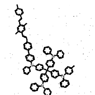 Cc1ccc(C=Cc2cc(C)c(C=Cc3ccc(-c4ccc(N(c5ccccc5)c5ccc(C(c6ccc(N(c7ccccc7)c7ccccc7)cc6)(c6ccc(N(c7ccccc7)c7ccccc7)cc6)c6ccc(N(c7ccccc7)c7ccc(C)cc7)cc6)cc5)cc4)cc3)cc2C)cc1